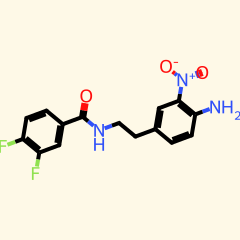 Nc1ccc(CCNC(=O)c2ccc(F)c(F)c2)cc1[N+](=O)[O-]